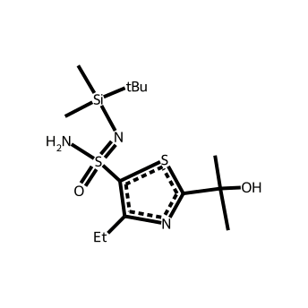 CCc1nc(C(C)(C)O)sc1S(N)(=O)=N[Si](C)(C)C(C)(C)C